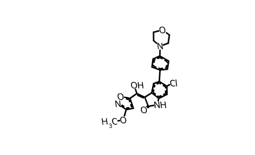 COc1cc(/C(O)=C2\C(=O)Nc3cc(Cl)c(-c4ccc(N5CCOCC5)cc4)cc32)on1